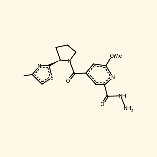 COc1cc(C(=O)N2CCC[C@@H]2c2nc(C)cs2)cc(C(=O)NN)n1